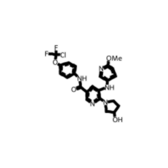 COc1ccc(Nc2cc(C(=O)Nc3ccc(OC(F)(F)Cl)cc3)cnc2N2CCC(O)C2)cn1